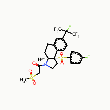 CS(=O)(=O)CC(=O)N1CC[C@]2(S(=O)(=O)c3ccc(F)cc3)c3ccc(C(F)(C(F)(F)F)C(F)(F)F)cc3CC[C@H]12